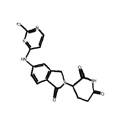 O=C1CCC(N2Cc3cc(Nc4ccnc(Cl)n4)ccc3C2=O)C(=O)N1